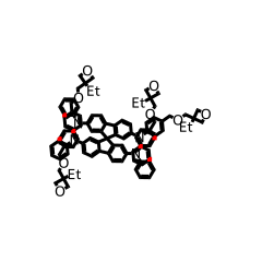 CCC1(COCc2ccc(N(c3ccccc3)c3ccc4c(c3)C3(c5cc(N(c6ccccc6)c6ccc(COCC7(CC)COC7)cc6)ccc5-4)c4cc(N(c5ccccc5)c5ccc(COCC6(CC)COC6)cc5)ccc4-c4ccc(N(c5ccccc5)c5ccc(COCC6(CC)COC6)cc5)cc43)cc2)COC1